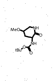 COC1CNC(=O)C(NC(=O)OC(C)(C)C)C1